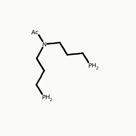 CC(=O)N(CCCP)CCCP